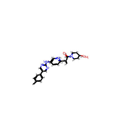 Cc1ccc(-c2cnc(Nc3ccc(C(C)C(=O)N4CCC(O)CC4)nc3)nc2)cc1